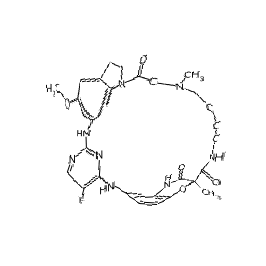 COc1cc2c3cc1Nc1ncc(F)c(n1)Nc1ccc4c(c1)NC(=O)C(C)(O4)C(=O)NCCCCN(C)CC(=O)N3CC2